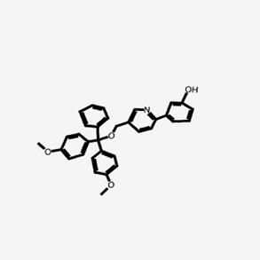 COc1ccc(C(OCc2ccc(-c3cccc(O)c3)nc2)(c2ccccc2)c2ccc(OC)cc2)cc1